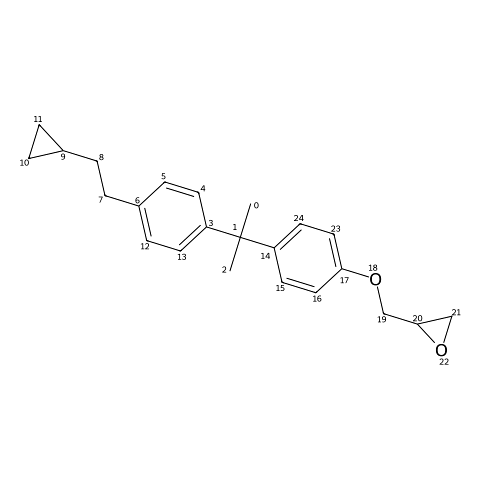 CC(C)(c1ccc(CCC2CC2)cc1)c1ccc(OCC2CO2)cc1